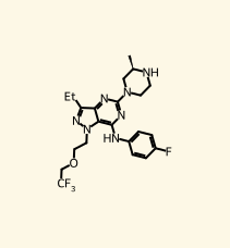 CCc1nn(CCOCC(F)(F)F)c2c(Nc3ccc(F)cc3)nc(N3CCN[C@H](C)C3)nc12